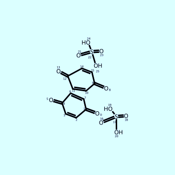 O=C1C=CC(=O)C=C1.O=C1C=CC(=O)C=C1.O=S(=O)(O)O.O=S(=O)(O)O